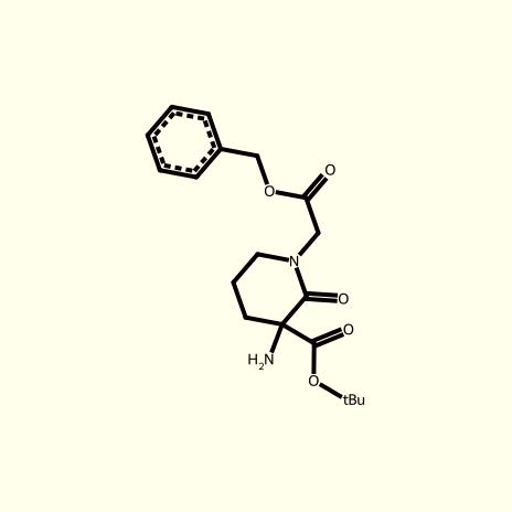 CC(C)(C)OC(=O)C1(N)CCCN(CC(=O)OCc2ccccc2)C1=O